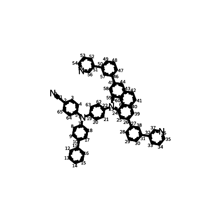 N#Cc1ccc(N(c2ccc(-c3ccccc3)cc2)c2ccc(-n3c4cc(-c5cccc(-c6cccnc6)c5)cc5ccc6cc(-c7cccc(-c8cccnc8)c7)cc3c6c54)cc2)cc1